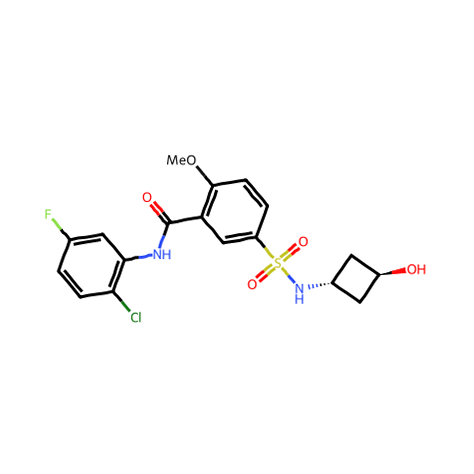 COc1ccc(S(=O)(=O)N[C@H]2C[C@H](O)C2)cc1C(=O)Nc1cc(F)ccc1Cl